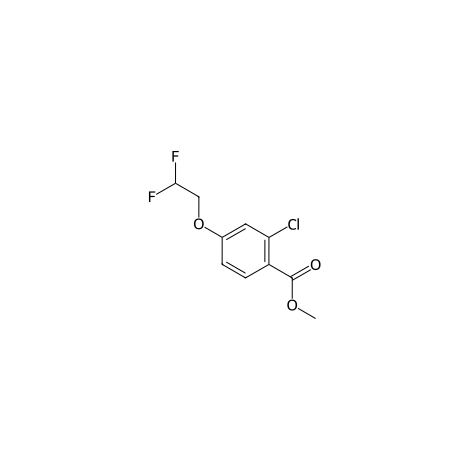 COC(=O)c1ccc(OCC(F)F)cc1Cl